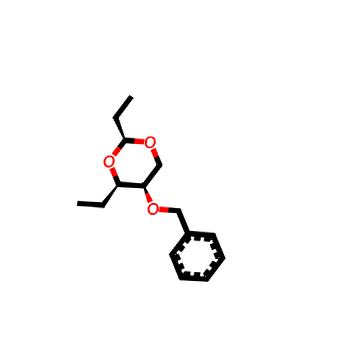 CC[C@H]1OC[C@@H](OCc2ccccc2)[C@@H](CC)O1